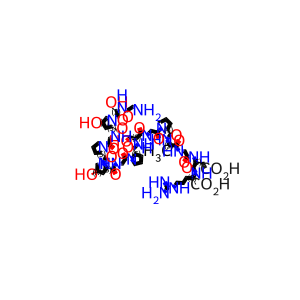 C[C@H](NC(=O)[C@@H]1CCCN1C(=O)CNC(=O)[C@H](CO)NC(=O)[C@@H]1CCCN1C(=O)CNC(=O)[C@@H]1C[C@@H](O)CN1C(=O)[C@@H]1CCCN1C(=O)CNC(=O)[C@@H]1C[C@@H](O)CN1C(=O)[C@H](CO)NC(=O)CN)C(=O)NCC(=O)N[C@@H](CC(=O)O)C(=O)N[C@@H](CCCNC(=N)N)C(=O)O